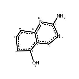 Nc1ncc2c(O)cccc2n1